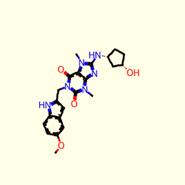 COc1ccc2[nH]c(Cn3c(=O)c4c(nc(N[C@@H]5CC[C@H](O)C5)n4C)n(C)c3=O)cc2c1